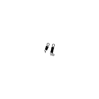 [O]=[Y].[O]=[Yb]